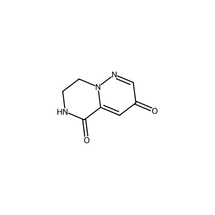 O=C1NCCn2ncc(=O)cc21